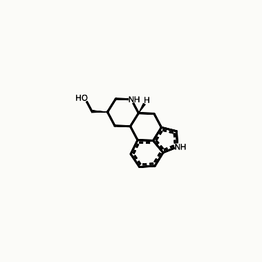 OC[C@H]1CN[C@@H]2Cc3c[nH]c4cccc(c34)C2C1